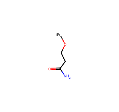 CC(C)OCCC(N)=O